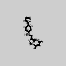 Cc1cc(C)n2cnc(CNC3CCC(c4ccco4)CC3)c2n1